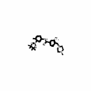 Cc1ccc(NC(=O)c2ccc(CN3CCN(C)CC3)c(C(F)(F)F)c2)cc1B1OC(C)(C)C(C)(C)O1